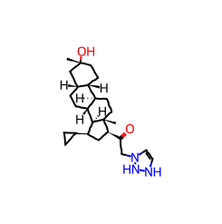 C[C@@]1(O)CC[C@H]2[C@H](CC[C@@H]3[C@@H]2CC[C@@]2(C)[C@H]3[C@H](C3CC3)C[C@@H]2C(=O)CN2C=CNN2)C1